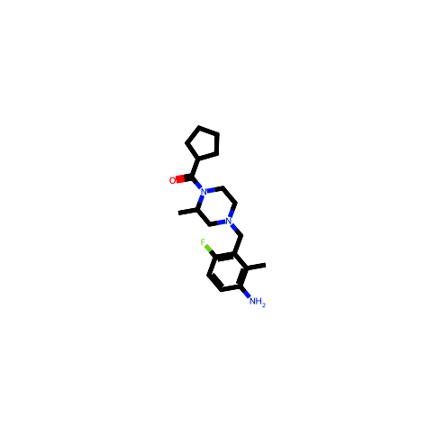 Cc1c(N)ccc(F)c1CN1CCN(C(=O)C2CCCC2)C(C)C1